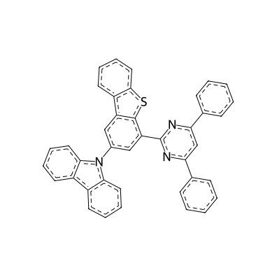 c1ccc(-c2cc(-c3ccccc3)nc(-c3cc(-n4c5ccccc5c5ccccc54)cc4c3sc3ccccc34)n2)cc1